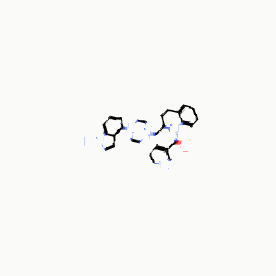 O=C(c1cccnc1)N1c2ccccc2CCC1CN1CCN(c2cccc3[nH]ccc23)CC1